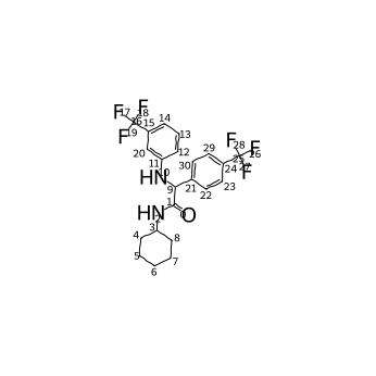 O=C(NC1CCCCC1)C(Nc1cccc(C(F)(F)F)c1)c1ccc(C(F)(F)F)cc1